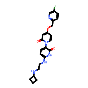 O=c1[nH]c(NCCNC2CCC2)ccc1-n1ccc(OCc2ccc(Cl)cn2)cc1=O